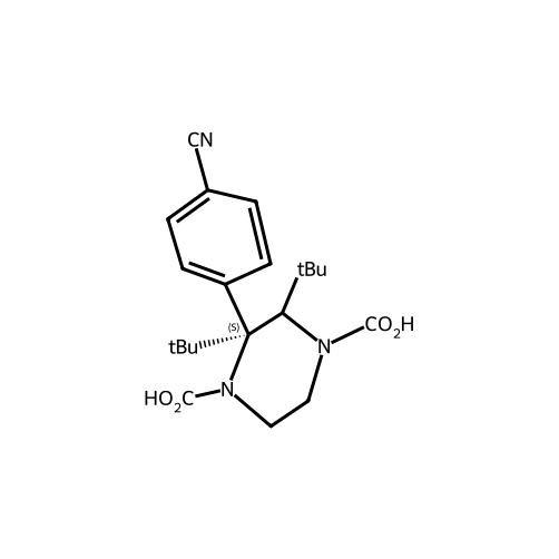 CC(C)(C)C1N(C(=O)O)CCN(C(=O)O)[C@]1(c1ccc(C#N)cc1)C(C)(C)C